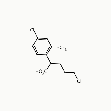 O=C(O)C(CCCCl)c1ccc(Cl)cc1C(F)(F)F